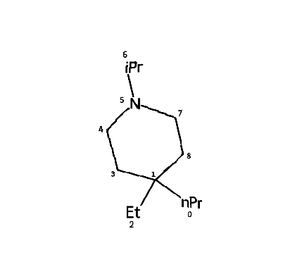 CCCC1(CC)CCN(C(C)C)CC1